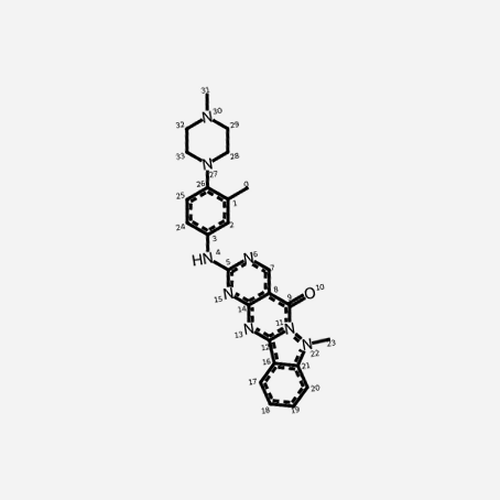 Cc1cc(Nc2ncc3c(=O)n4c(nc3n2)c2ccccc2n4C)ccc1N1CCN(C)CC1